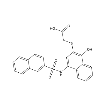 O=C(O)CSc1cc(NS(=O)(=O)c2ccc3ccccc3c2)c2ccccc2c1O